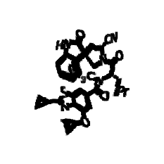 CC(C)C[C@@H](C(=O)N1C[C@]2(C[C@H]1C#N)C(=O)Nc1ccccc12)N(C)C(=O)c1cc(OC2CC2)c2nc(C3CC3)sc2c1